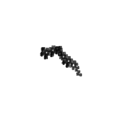 CCCCCC1CCC(c2ccc(-c3ccc(OCC(F)(F)Oc4ccc(-c5cc(F)c(F)c(F)c5)c(F)c4)cc3)c(F)c2F)CC1